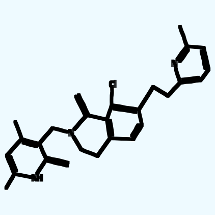 C=C1NC(C)=CC(C)=C1CN1CCc2ccc(CCc3cccc(C)n3)c(Cl)c2C1=C